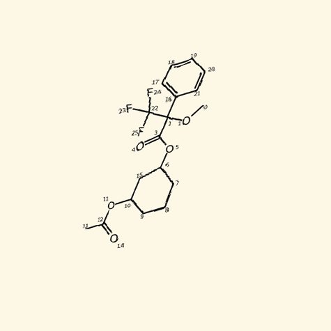 COC(C(=O)OC1CCCC(OC(C)=O)C1)(c1ccccc1)C(F)(F)F